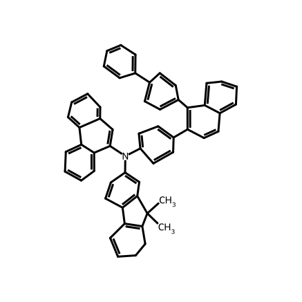 CC1(C)C2=C(C=CCC2)c2ccc(N(c3ccc(-c4ccc5ccccc5c4-c4ccc(-c5ccccc5)cc4)cc3)c3cc4ccccc4c4ccccc34)cc21